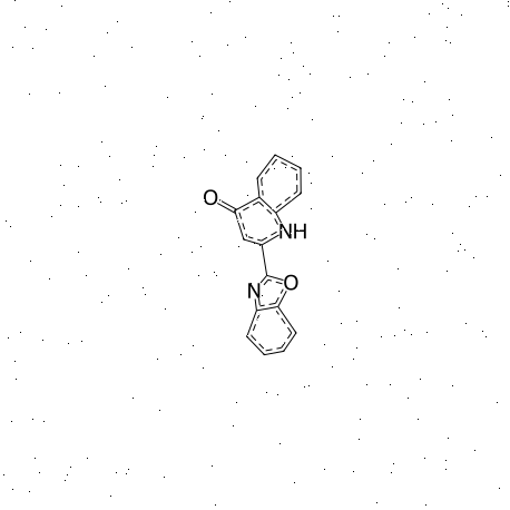 O=c1cc(-c2nc3ccccc3o2)[nH]c2ccccc12